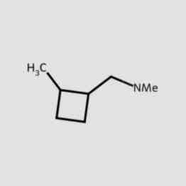 CNCC1CCC1C